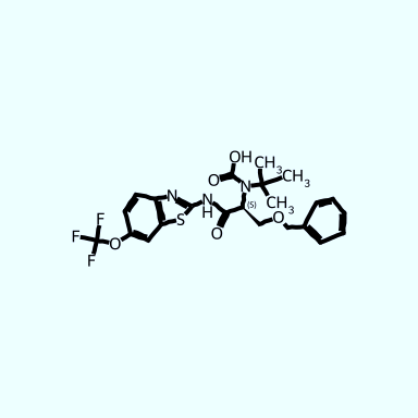 CC(C)(C)N(C(=O)O)[C@@H](COCc1ccccc1)C(=O)Nc1nc2ccc(OC(F)(F)F)cc2s1